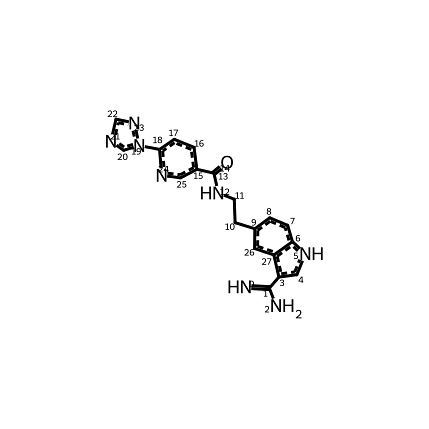 N=C(N)c1c[nH]c2ccc(CCNC(=O)c3ccc(-n4cncn4)nc3)cc12